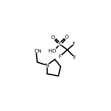 N#CCN1CCCC1.O=S(=O)(O)C(F)(F)F